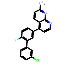 Fc1ccc(-c2ccnc3nc(C(F)(F)F)ccc23)cc1-c1cccc(Cl)c1